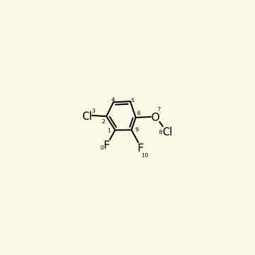 Fc1c(Cl)ccc(OCl)c1F